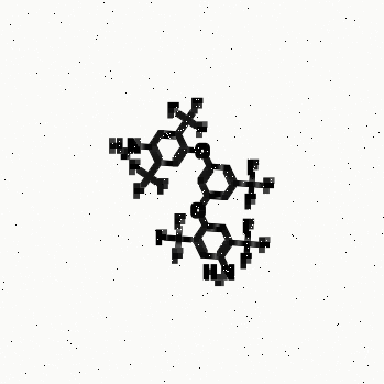 Nc1cc(C(F)(F)F)c(Oc2cc(Oc3cc(C(F)(F)F)c(N)cc3C(F)(F)F)cc(C(F)(F)F)c2)cc1C(F)(F)F